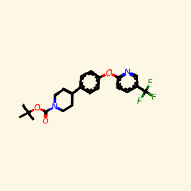 CC(C)(C)OC(=O)N1CCC(c2ccc(Oc3ccc(C(F)(F)F)cn3)cc2)CC1